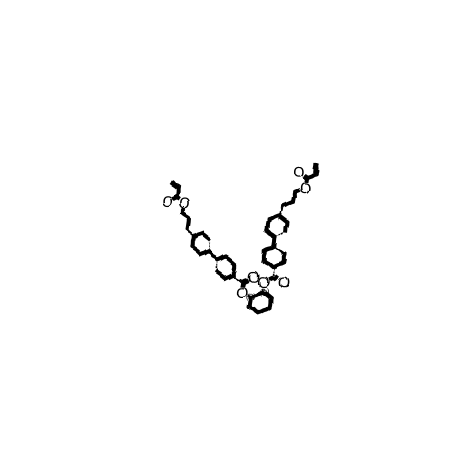 C=CC(=O)OCCC[C@H]1CC[C@H]([C@H]2CC[C@H](C(=O)O[C@@H]3CCCC[C@H]3OC(=O)[C@H]3CC[C@H]([C@H]4CC[C@H](CCCOC(=O)C=C)CC4)CC3)CC2)CC1